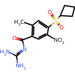 Cc1cc(S(=O)(=O)C2CCC2)c([N+](=O)[O-])cc1C(=O)N=C(N)N